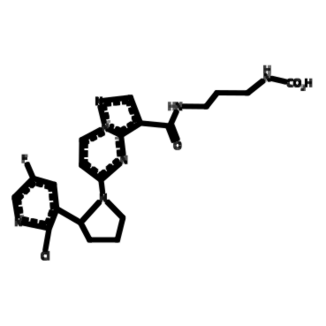 O=C(O)NCCCNC(=O)c1cnn2ccc(N3CCCC3c3cc(F)cnc3Cl)nc12